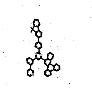 CC1(C)c2ccccc2-c2ccc(-c3ccc(-c4nc(-c5cccc(-c6cccnc6)c5)cc(-c5cc6c7ccccc7c7ccccc7c6c6ccccc56)n4)cc3)cc21